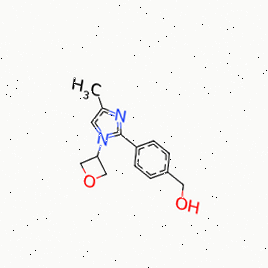 Cc1cn(C2COC2)c(-c2ccc(CO)cc2)n1